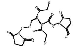 O=C1CCC(=O)N1OOCN(C(=O)CBr)N(C(=O)CBr)C(=O)ON1C(=O)CCC1=O